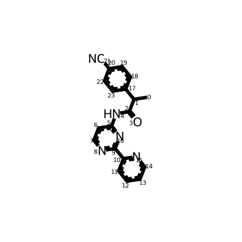 CC(C(=O)Nc1ccnc(-c2ccccn2)n1)c1ccc(C#N)cc1